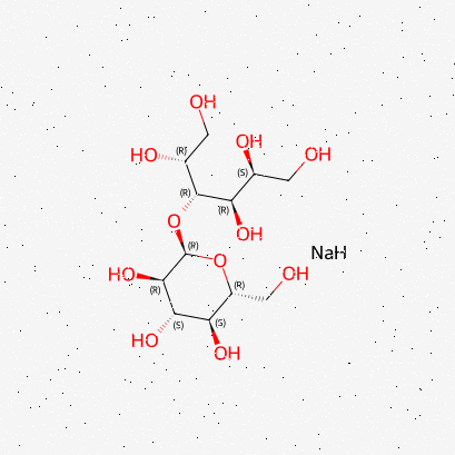 OC[C@@H](O)[C@@H](O[C@H]1O[C@H](CO)[C@@H](O)[C@H](O)[C@H]1O)[C@H](O)[C@@H](O)CO.[NaH]